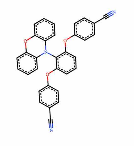 N#Cc1ccc(Oc2cccc(Oc3ccc(C#N)cc3)c2N2c3ccccc3Oc3ccccc32)cc1